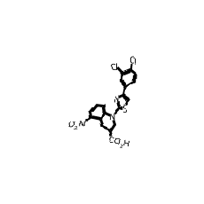 O=C(O)C1Cc2c(cccc2[N+](=O)[O-])N(c2nc(-c3ccc(Cl)c(Cl)c3)cs2)C1